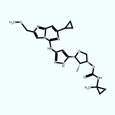 COCc1cn2c(Nc3cc([C@H]4OC[C@@H](OC(=O)NC5(C)CC5)[C@@H]4F)[nH]n3)nc(C3CC3)cc2n1